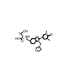 Cc1cc(-c2nc3cc(CN[C@H](C(=O)O)[C@@H](C)O)ccc3n2C[C@H]2CCOC2)cn(C)c1=O